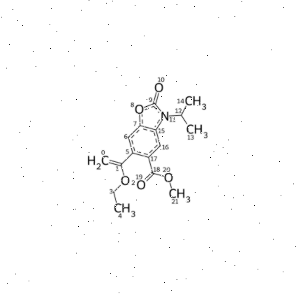 C=C(OCC)c1cc2oc(=O)n(C(C)C)c2cc1C(=O)OC